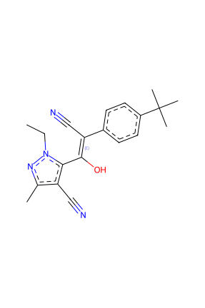 CCn1nc(C)c(C#N)c1/C(O)=C(\C#N)c1ccc(C(C)(C)C)cc1